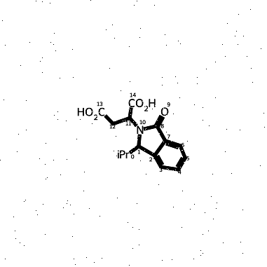 CC(C)C1c2ccccc2C(=O)N1C(CC(=O)O)C(=O)O